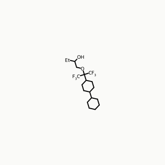 CCC(O)COC(C1CCC(C2CCCCC2)CC1)(C(F)(F)F)C(F)(F)F